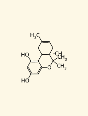 CC1=CC[C@]2(C)C(C1)c1c(O)cc(O)cc1OC2(C)C